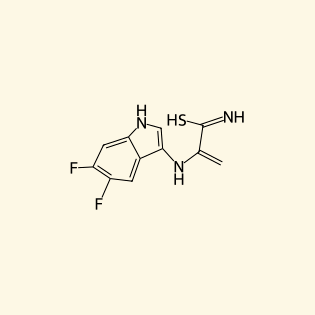 C=C(Nc1c[nH]c2cc(F)c(F)cc12)C(=N)S